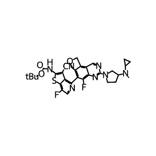 CN(C1CC1)C1CCN(c2ncc3c4c(c(-c5ncc(F)c6sc(NC(=O)OC(C)(C)C)c(C#N)c56)c(F)c3n2)COC4)C1